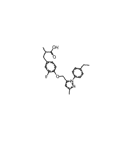 CCc1ccc(-n2nc(C)cc2COc2ccc(CC(C)C(=O)O)cc2F)cc1